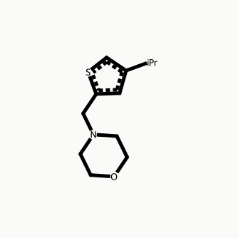 CC(C)c1csc(CN2CCOCC2)c1